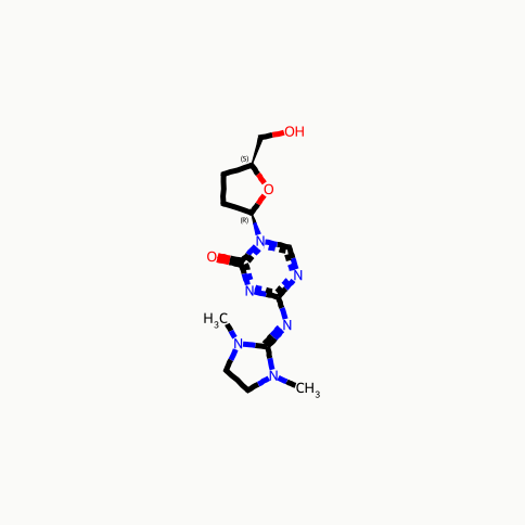 CN1CCN(C)C1=Nc1ncn([C@H]2CC[C@@H](CO)O2)c(=O)n1